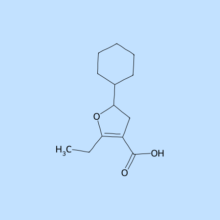 CCC1=C(C(=O)O)CC(C2CCCCC2)O1